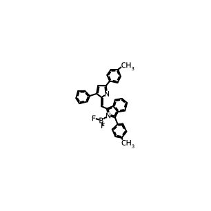 Cc1ccc(C2=N/C(=C\c3c4ccccc4c(-c4ccc(C)cc4)n3B(F)F)C(c3ccccc3)=C2)cc1